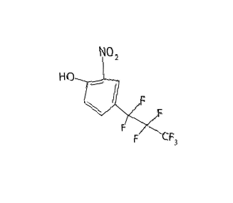 O=[N+]([O-])c1cc(C(F)(F)C(F)(F)C(F)(F)F)ccc1O